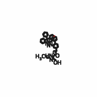 CCCc1nc(CO)c(C(=O)OCc2ccc(-c3ccccc3-c3nnnn3C(c3ccccc3)(c3ccccc3)c3ccccc3)cc2)[nH]1